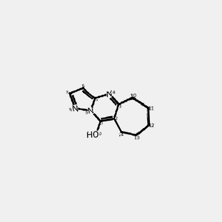 Oc1c2c(nc3ccnn13)CCCCC2